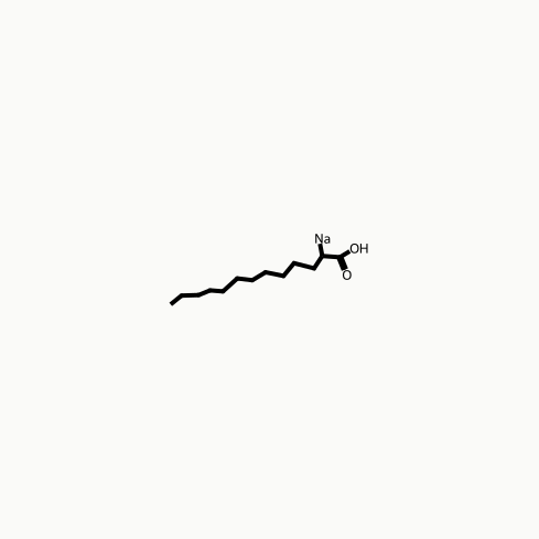 CCCCCCCCCCC[CH]([Na])C(=O)O